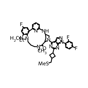 C=Nc1cc(F)cc2c1N(CC)CCCN(C)C(=O)C1CC(CN1c1nc(C3CC(CSC)C3)nc3c1cnn3-c1ccc(F)cc1F)Nc1cccc-2n1